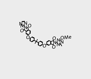 COc1nc(C)nc(N2C(=O)c3ccc(Oc4ccc(C(C)(C)c5ccc(Oc6ccc7c(c6)C(=O)N(c6nccnn6)C7=O)cc5)cc4)cc3C2=O)n1